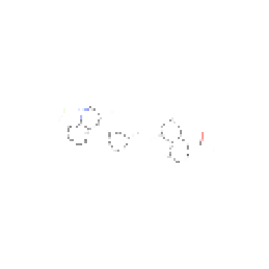 Cc1cnc2c(C(F)(F)F)cccc2c1-c1cccc(CNc2cccc3c(C(=O)O)cccc23)c1